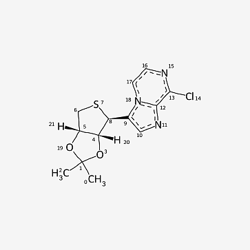 CC1(C)O[C@@H]2[C@@H](CS[C@H]2c2cnc3c(Cl)nccn23)O1